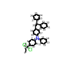 CC[Si](Cl)(Cl)c1ccc(N(c2ccccc2)c2ccc(C=C(c3ccccc3)c3ccccc3)cc2)cc1